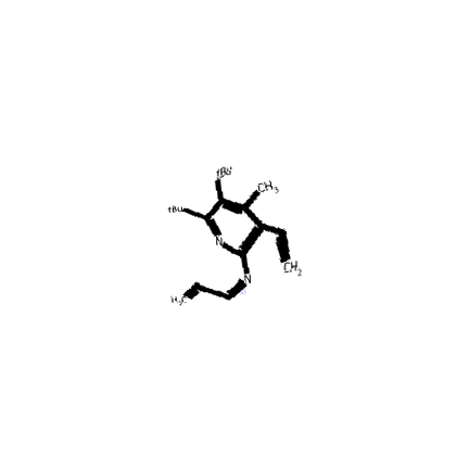 C=C/C=N\c1nc(C(C)(C)C)c(C(C)(C)C)c(C)c1C=C